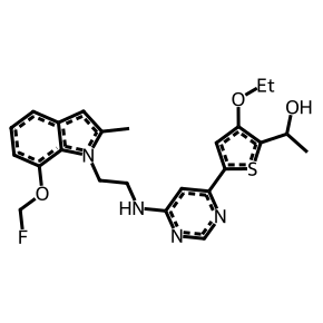 CCOc1cc(-c2cc(NCCn3c(C)cc4cccc(OCF)c43)ncn2)sc1C(C)O